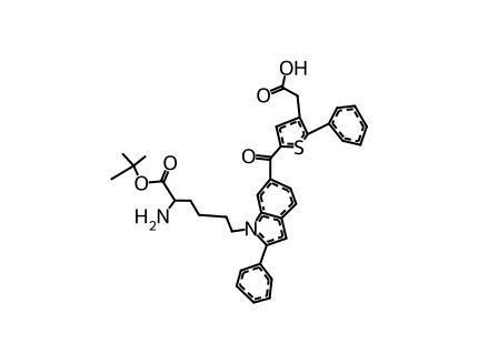 CC(C)(C)OC(=O)C(N)CCCCn1c(-c2ccccc2)cc2ccc(C(=O)c3cc(CC(=O)O)c(-c4ccccc4)s3)cc21